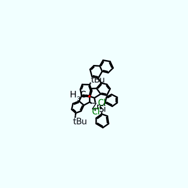 CC1=Cc2c(-c3cccc4ccccc34)cccc2[CH]1[Zr]([Cl])([Cl])([CH]1c2cc(C(C)(C)C)ccc2-c2ccc(C(C)(C)C)cc21)=[Si](c1ccccc1)c1ccccc1